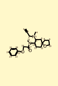 C#CCN(C)C1CC2(CCCO2)CCC1N(C)C(=O)COc1ccccc1